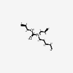 C=CCOC(=O)N(CC=C)CCCCC